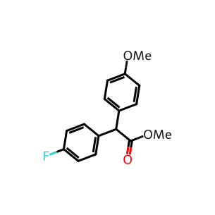 COC(=O)C(c1ccc(F)cc1)c1ccc(OC)cc1